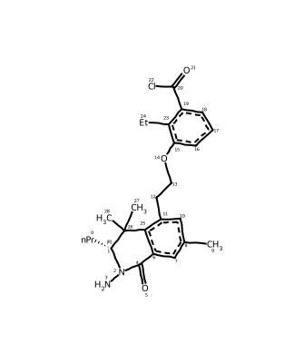 CCC[C@H]1N(N)C(=O)c2cc(C)cc(CCOc3cccc(C(=O)Cl)c3CC)c2C1(C)C